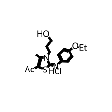 CCOc1ccc(N=c2sc(C(C)=O)c(C)n2CCCO)cc1.Cl